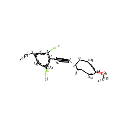 CCCc1cc(F)c(C#C[C@H]2CC[C@H](OCC)CC2)c(F)c1